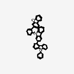 c1ccc(-n2c3ccccc3c3c(-c4ccc5c6ccccc6n(-c6ccccc6-c6ccc7c(c6)oc6ccccc67)c5c4)cccc32)cc1